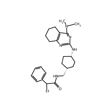 CCC(C(=O)NC[C@H]1CC[C@@H](Nc2nc3c(c(N(C)C)n2)CCCC3)CC1)c1ccccc1